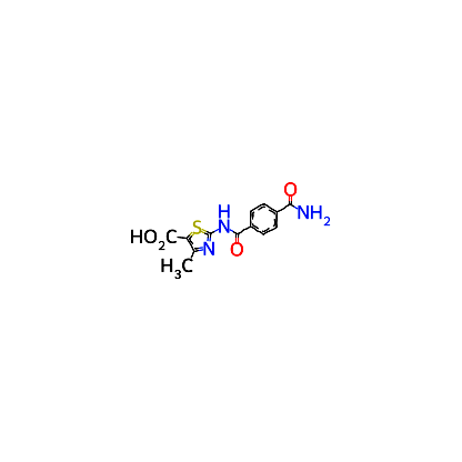 Cc1nc(NC(=O)c2ccc(C(N)=O)cc2)sc1C(=O)O